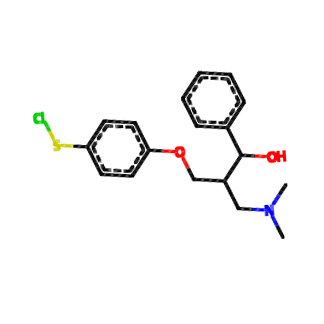 CN(C)CC(COc1ccc(SCl)cc1)C(O)c1ccccc1